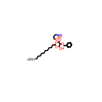 CCCCCCCCCCCCCCCCCCCCC(=O)OC(OP1(=O)NCCCO1)C(CO)OCc1ccccc1